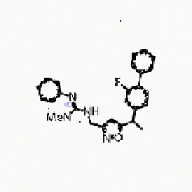 CN/C(=N\c1ccccc1)NCc1cc(C(C)c2ccc(-c3ccccc3)c(F)c2)on1